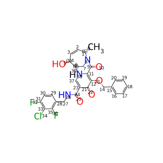 C[C@H]1C=C[C@H](O)[C@H]2CN1C(=O)c1c(OCc3ccccc3)c(=O)c(C(=O)NCc3ccc(F)c(Cl)c3F)cn12